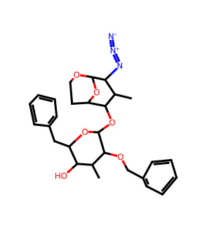 CC1C(N=[N+]=[N-])C2OCCC(O2)C1OC1OC(Cc2ccccc2)C(O)C(C)C1OCc1ccccc1